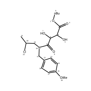 CCCCOC(=O)C(O)C(O)C(=O)N(Cc1ccc(OC)cc1)CC(C)Cl